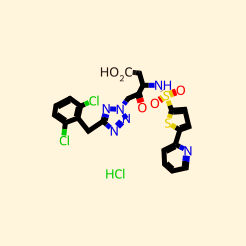 Cl.O=C(O)CC(NS(=O)(=O)c1ccc(-c2ccccn2)s1)C(=O)Cn1nnc(Cc2c(Cl)cccc2Cl)n1